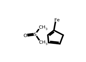 CS(C)=O.[Fe][C]1=CC=CC1